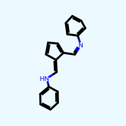 C1=C/C(=C\Nc2ccccc2)C(/C=N\c2ccccc2)=C1